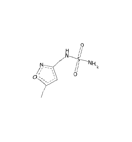 Cc1cc(NS(N)(=O)=O)no1